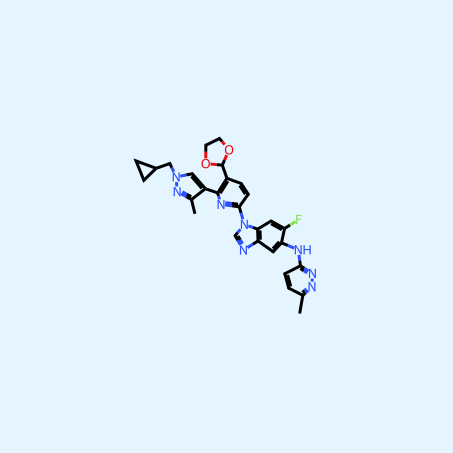 Cc1ccc(Nc2cc3ncn(-c4ccc(C5OCCO5)c(-c5cn(CC6CC6)nc5C)n4)c3cc2F)nn1